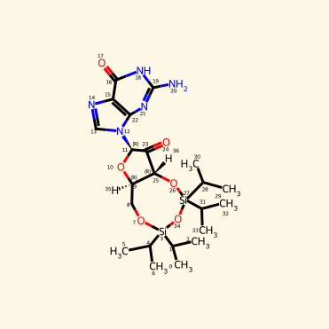 CC(C)[Si]1(C(C)C)OC[C@H]2O[C@@H](n3cnc4c(=O)[nH]c(N)nc43)C(=O)[C@@H]2O[Si](C(C)C)(C(C)C)O1